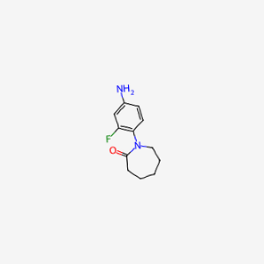 Nc1ccc(N2CCCCCC2=O)c(F)c1